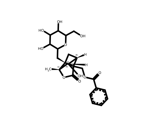 C[C@]12C[C@@H](O)[C@@H]3C[C@]1(CC1OC(CO)C(O)C(O)C1O)C3(COC(=O)c1ccccc1)C(=O)O2